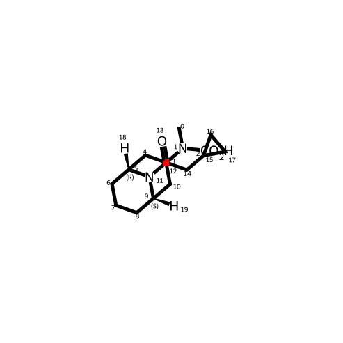 CN(C(=O)O)C1C[C@H]2CCC[C@@H](C1)N2C(=O)CC1CC1